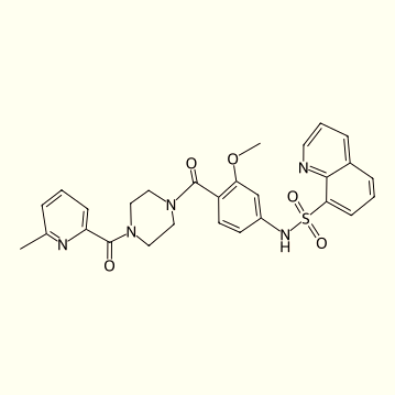 COc1cc(NS(=O)(=O)c2cccc3cccnc23)ccc1C(=O)N1CCN(C(=O)c2cccc(C)n2)CC1